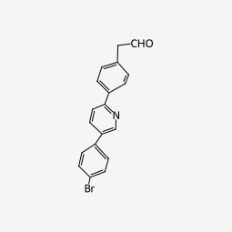 O=CCc1ccc(-c2ccc(-c3ccc(Br)cc3)cn2)cc1